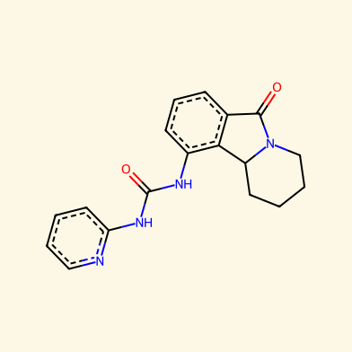 O=C(Nc1ccccn1)Nc1cccc2c1C1CCCCN1C2=O